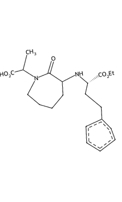 CCOC(=O)[C@H](CCc1ccccc1)NC1CCCCN(C(C)C(=O)O)C1=O